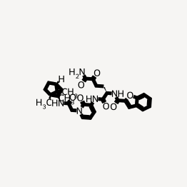 CC1(C)[C@@H]2CC[C@@]1(C)[C@@H](NC(=O)Cn1cccc(NC(=O)[C@H](CCC(=O)C(N)=O)NC(=O)c3cc4ccccc4o3)c1=O)C2